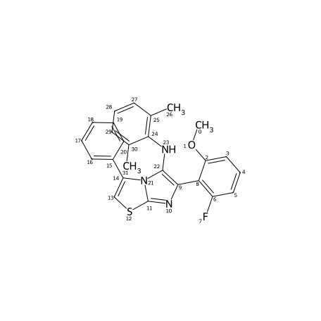 COc1cccc(F)c1-c1nc2scc(-c3ccccc3)n2c1Nc1c(C)cccc1C